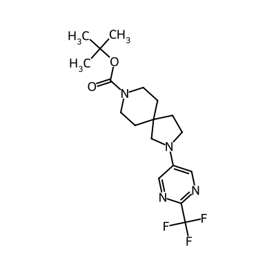 CC(C)(C)OC(=O)N1CCC2(CC1)CCN(c1cnc(C(F)(F)F)nc1)C2